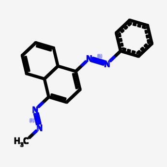 C/N=N/C1=CC=C(/N=N/c2ccccc2)C2C=CC=CC12